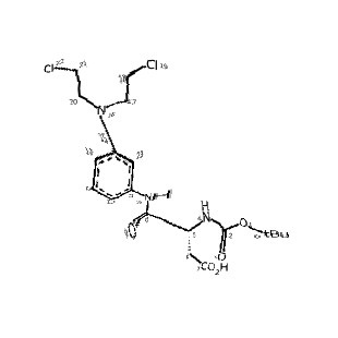 CC(C)(C)OC(=O)N[C@H](CC(=O)O)C(=O)Nc1cccc(N(CCCl)CCCl)c1